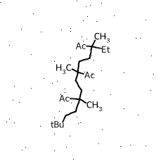 CCC(C)(CCC(C)(CCC(C)(CCC(C)(C)C)C(C)=O)C(C)=O)C(C)=O